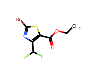 CCOC(=O)c1sc(Br)nc1C(F)F